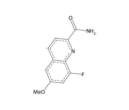 COc1cc(F)c2nc(C(N)=O)c[c]c2c1